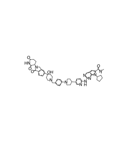 CN(C)C(=O)c1cc2cnc(Nc3ccc(C4CCN(c5ccc(CN6CCC(O)(c7ccc8c(c7)CN(C7CCC(=O)NC7=O)C8=O)CC6)cc5)CC4)cn3)nc2n1C1CCCC1